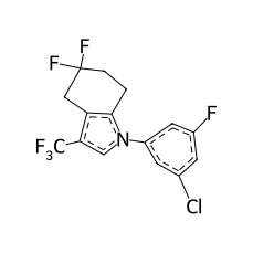 Fc1cc(Cl)cc(-n2cc(C(F)(F)F)c3c2CCC(F)(F)C3)c1